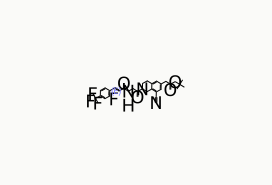 CC(C)(C)OC(=O)Cc1cc(C#N)c2c(c1)CCN(C(=O)CNC(=O)/C=C/c1ccc(C(F)(F)F)cc1F)C2